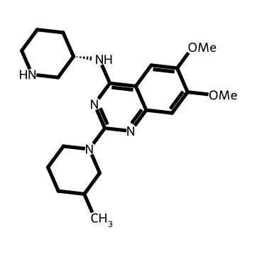 COc1cc2nc(N3CCCC(C)C3)nc(N[C@H]3CCCNC3)c2cc1OC